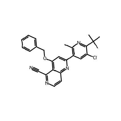 Cc1nc(C(C)(C)C)c(Cl)cc1-c1cc(OCc2ccccc2)c2c(C#N)nccc2n1